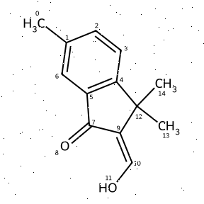 Cc1ccc2c(c1)C(=O)C(=CO)C2(C)C